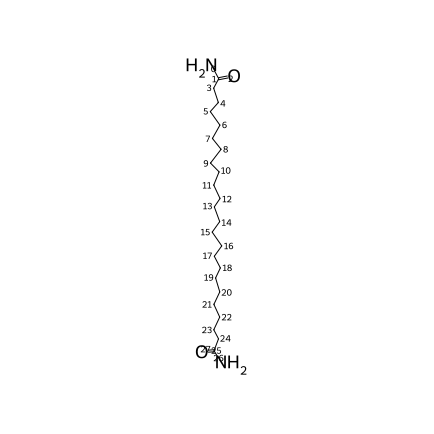 NC(=O)CCCCCCCCCCCCCCCCCCCCCCC(N)=O